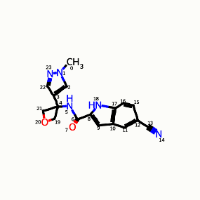 Cn1cc(C2(NC(=O)c3cc4cc(C#N)ccc4[nH]3)COC2)cn1